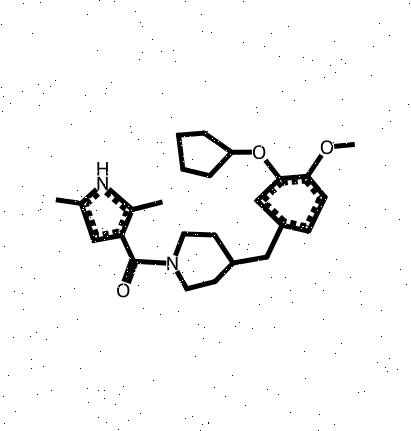 COc1ccc(CC2CCN(C(=O)c3cc(C)[nH]c3C)CC2)cc1OC1CCCC1